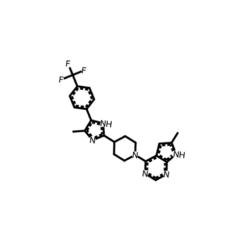 Cc1cc2c(N3CCC(c4nc(C)c(-c5ccc(C(F)(F)F)cc5)[nH]4)CC3)ncnc2[nH]1